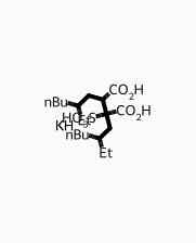 CCCCC(CC)CC(C(=O)O)C(CC(CC)CCCC)(C(=O)O)S(=O)(=O)O.[KH]